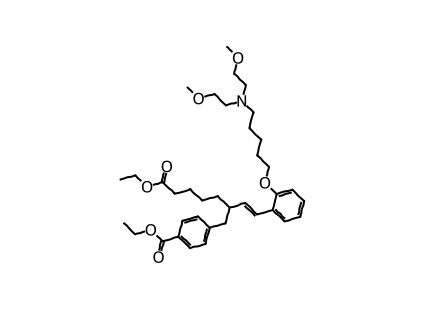 CCOC(=O)CCCCC(/C=C/c1ccccc1OCCCCCN(CCOC)CCOC)Cc1ccc(C(=O)OCC)cc1